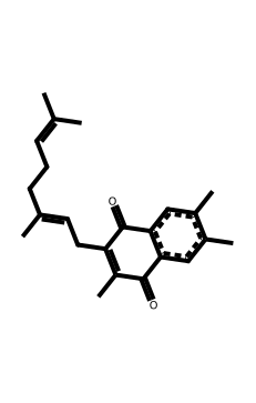 CC(C)=CCC/C(C)=C/CC1=C(C)C(=O)c2cc(C)c(C)cc2C1=O